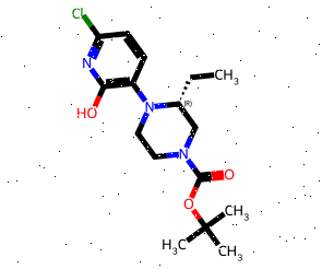 CC[C@@H]1CN(C(=O)OC(C)(C)C)CCN1c1ccc(Cl)nc1O